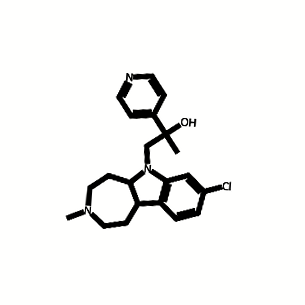 CN1CCC2c3ccc(Cl)cc3N(CC(C)(O)c3ccncc3)C2CC1